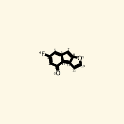 O=C1C=C(F)C=C2C=c3occc3=C12